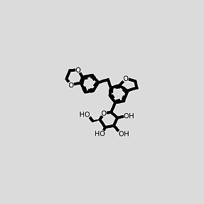 OC[C@H]1OC(c2cc3c(c(Cc4ccc5c(c4)OCCO5)c2)OCC3)C(O)C(O)C1O